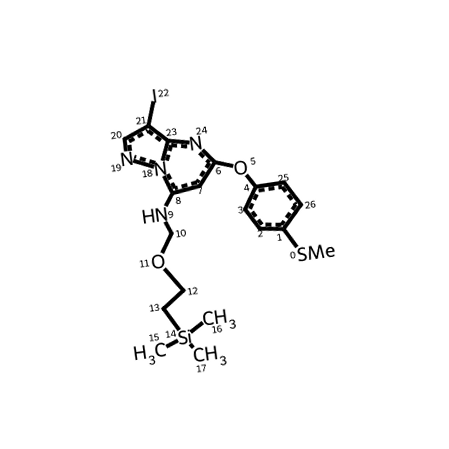 CSc1ccc(Oc2cc(NCOCC[Si](C)(C)C)n3ncc(I)c3n2)cc1